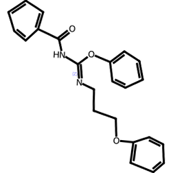 O=C(N/C(=N/CCCOc1ccccc1)Oc1ccccc1)c1ccccc1